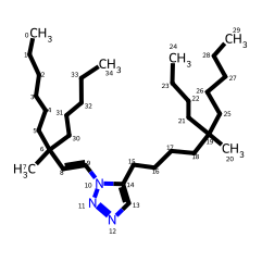 CCCCCCC(C)(/C=C/n1nncc1CCCCC(C)(CCCC)CCCCC)CCCCC